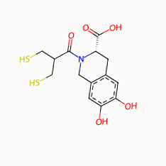 O=C(O)[C@@H]1Cc2cc(O)c(O)cc2CN1C(=O)C(CS)CS